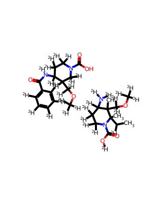 [2H]OC(=O)N1C([2H])([2H])C([2H])([2H])C([2H])(N([2H])[2H])C(C)(C([2H])([2H])OC([2H])([2H])[2H])C1(C)C([2H])C.[2H]c1c([2H])c([2H])c(C(=O)N([2H])C2([2H])C([2H])([2H])C([2H])([2H])N(C(=O)O)C([2H])([2H])C2([2H])C([2H])([2H])OC([2H])([2H])[2H])c([2H])c1[2H]